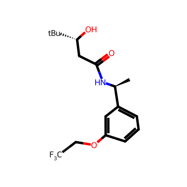 C[C@H](NC(=O)C[C@@H](O)C(C)(C)C)c1cccc(OCC(F)(F)F)c1